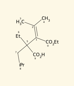 CCOC(=O)C(=C(C)C)C(CC)(CC(C)C)C(=O)O